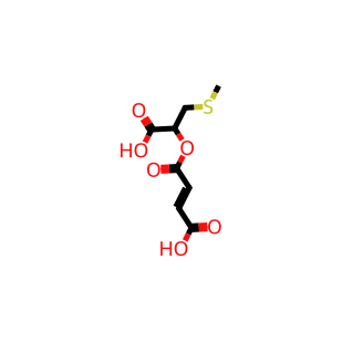 CSCC(OC(=O)C=CC(=O)O)C(=O)O